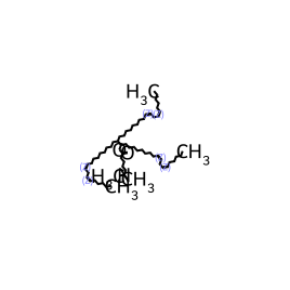 CCCCC/C=C\C/C=C\CCCCCCCCC(CCCCCCCC/C=C\C/C=C\CCCCC)C(CCCCCCCC/C=C\C/C=C\CCCCC)OC(=O)CCCCN(C)C